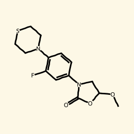 COC1CN(c2ccc(N3CCSCC3)c(F)c2)C(=O)O1